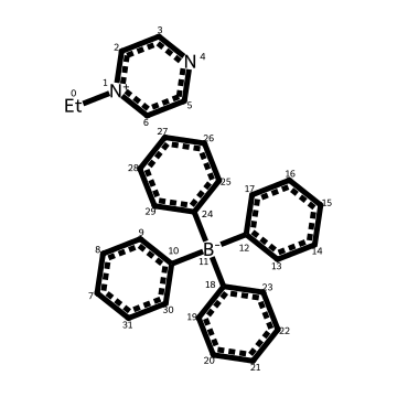 CC[n+]1ccncc1.c1ccc([B-](c2ccccc2)(c2ccccc2)c2ccccc2)cc1